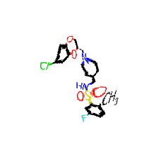 Cc1ccc(F)cc1S(=O)(=O)NCC1CCN(C[C@H]2COc3ccc(Cl)cc3O2)CC1